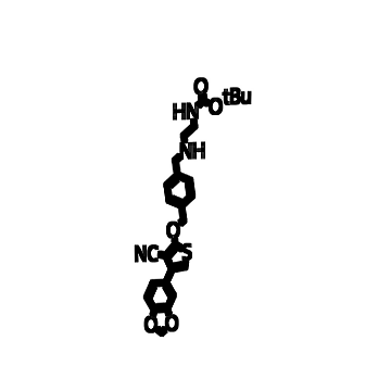 CC(C)(C)OC(=O)NCCNCc1ccc(COc2scc(-c3ccc4c(c3)OCO4)c2C#N)cc1